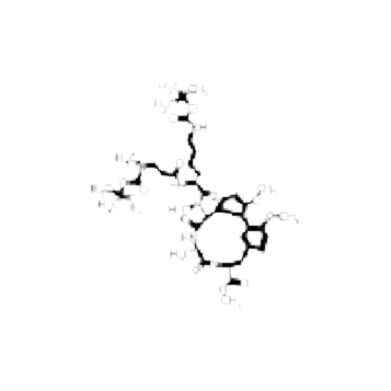 COC(=O)[C@@H]1Cc2ccc(OC)c(c2)-c2cc(ccc2OC)[C@H](N(C)C(=O)[C@H](CCCCNC(=O)OC(C)(C)C)NC(=O)CCN(C)C(=O)OC(C)(C)C)C(=O)N[C@@H](C)C(=O)N1